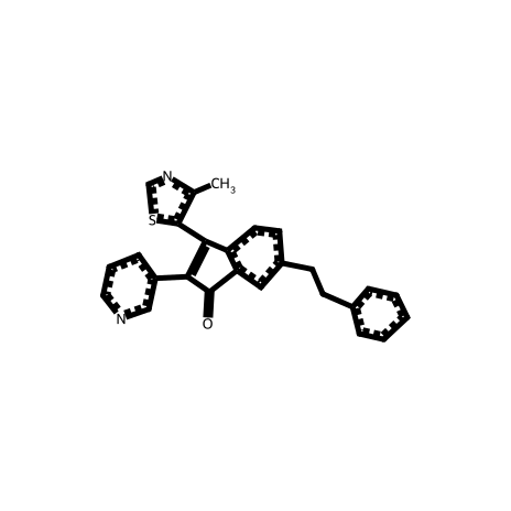 Cc1ncsc1C1=C(c2cccnc2)C(=O)c2cc(CCc3ccccc3)ccc21